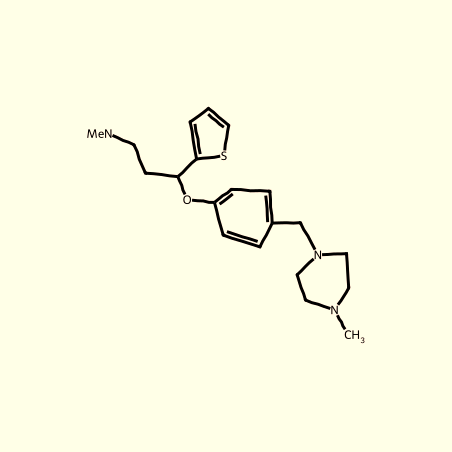 CNCCC(Oc1ccc(CN2CCN(C)CC2)cc1)c1cccs1